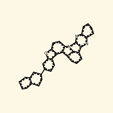 c1ccc2cc(-c3ccc4c(c3)oc3ccc5c(c6cccc7c8nc9ccccc9nc8n5c76)c34)ccc2c1